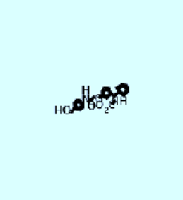 O=C(O)N[C@@H](c1ccccc1)c1cccc(OCC(=O)Nc2ccc(CO)cc2)c1